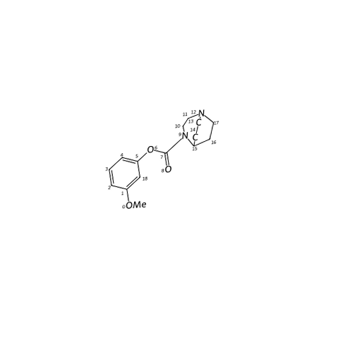 COc1cccc(OC(=O)N2CCN3CCC2CC3)c1